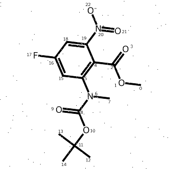 COC(=O)c1c(N(C)C(=O)OC(C)(C)C)cc(F)cc1[N+](=O)[O-]